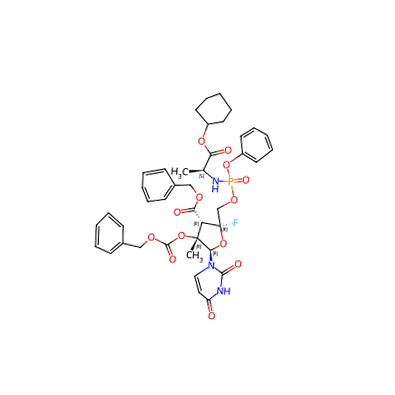 C[C@H](NP(=O)(OC[C@@]1(F)O[C@@H](n2ccc(=O)[nH]c2=O)[C@](C)(OC(=O)OCc2ccccc2)[C@@H]1C(=O)OCc1ccccc1)Oc1ccccc1)C(=O)OC1CCCCC1